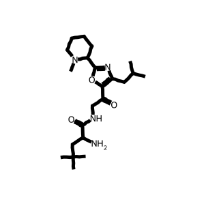 CC(C)Cc1nc(C2CCCCN2C)oc1C(=O)CNC(=O)C(N)CC(C)(C)C